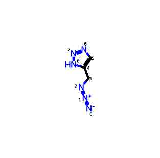 [N-]=[N+]=NCc1cnn[nH]1